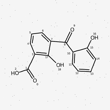 O=C(O)c1cccc(C(=O)c2ccccc2O)c1O